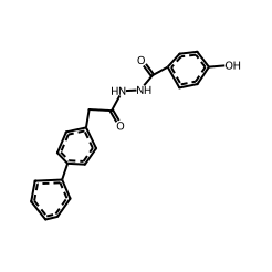 O=C(Cc1ccc(-c2ccccc2)cc1)NNC(=O)c1ccc(O)cc1